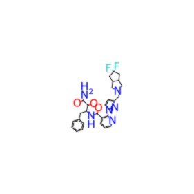 NC(=O)C(=O)C(Cc1ccccc1)NC(=O)c1cccnc1-n1ccc(CN2CC3CC(F)(F)CC3C2)n1